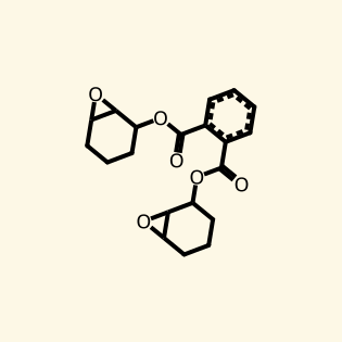 O=C(OC1CCCC2OC12)c1ccccc1C(=O)OC1CCCC2OC12